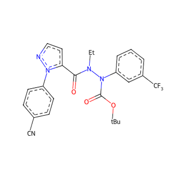 CCN(C(=O)c1ccnn1-c1ccc(C#N)cc1)N(C(=O)OC(C)(C)C)c1cccc(C(F)(F)F)c1